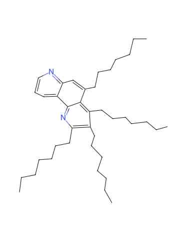 CCCCCCCc1nc2c(c(CCCCCCC)cc3ncccc32)c(CCCCCCC)c1CCCCCCC